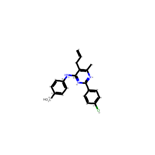 C=CCc1c(C)nc(-c2ccc(Cl)cc2)nc1Nc1ccc(C(=O)O)cc1